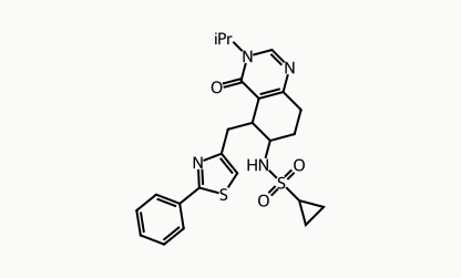 CC(C)n1cnc2c(c1=O)C(Cc1csc(-c3ccccc3)n1)C(NS(=O)(=O)C1CC1)CC2